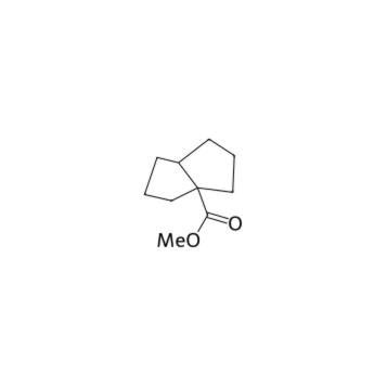 COC(=O)C12CCCC1CCC2